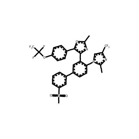 Cc1nc(-c2cc(-c3cccc(S(C)(=O)=O)c3)ccc2-n2cc(C(F)(F)F)nc2C)c(-c2ccc(OC(F)(F)C(F)(F)F)cc2)o1